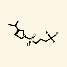 CC(C)C1=CCN(S(=O)(=O)CCCC(F)(F)F)C1